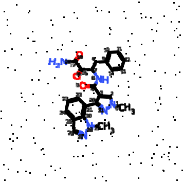 Cn1cc(C(=O)NC(Cc2ccccc2)C(=O)C(N)=O)c(-c2cccc3cnn(C)c23)n1